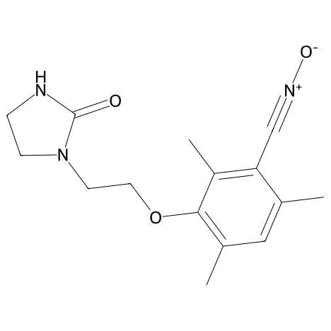 Cc1cc(C)c(OCCN2CCNC2=O)c(C)c1C#[N+][O-]